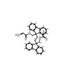 C=CC(=O)OCC1(CCC2(COC(=O)CC)c3ccccc3-c3ccccc32)c2ccccc2-c2ccccc21